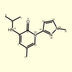 Cc1cc(NC(C)C)c(=O)n(-c2ccn(C)n2)c1